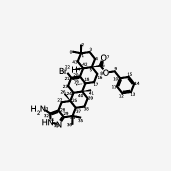 CC1(C)CC[C@]2(C(=O)OCc3ccccc3)CC[C@]3(C)C(=C(Br)CC4[C@@]5(C)Cc6c(n[nH]c6N)C(C)(C)C5CC[C@]43C)[C@@H]2C1